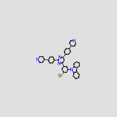 Brc1cc(-c2cc(-c3ccc(-c4ccncc4)cc3)nc(-c3ccc(-c4ccncc4)cc3)n2)cc(-n2c3ccccc3c3ccccc32)c1